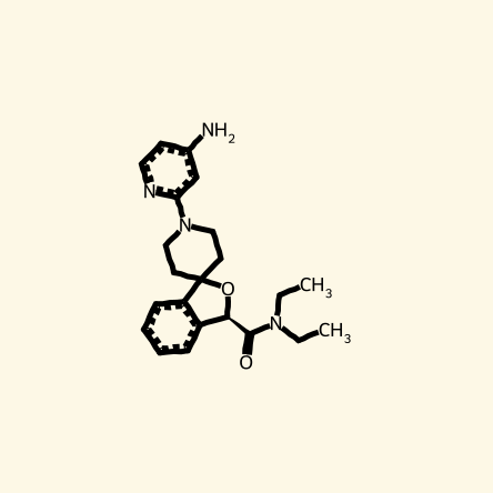 CCN(CC)C(=O)[C@@H]1OC2(CCN(c3cc(N)ccn3)CC2)c2ccccc21